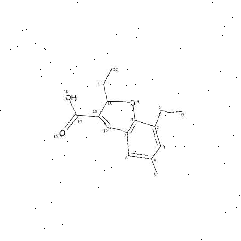 CCc1cc(C)cc2c1OC(CC)C(C(=O)O)=C2